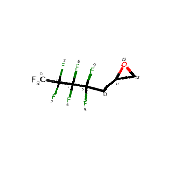 FC(F)(F)C(F)(F)C(F)(F)C(F)(F)CC1CO1